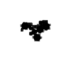 O=C1[C@H](CCC(O)c2cccc(F)c2)[C@@H](c2ccc(-c3ccccc3P(=O)(O)O)cc2O)N1c1ccccc1